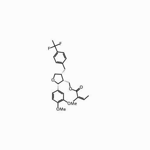 C/C=C(/C)C(=O)OC[C@H]1[C@@H](Cc2ccc(C(C)(F)F)cc2)CO[C@H]1c1ccc(OC)c(OC)c1